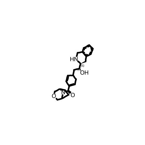 O=C(C1=CCC(C[C@@H](O)[C@@H]2Cc3ccccc3CN2)C=C1)N1C2CCC1COC2